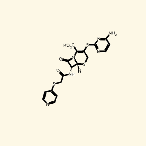 Nc1ccnc(SC2=C(C(=O)O)N3C(=O)[C@@H](NC(=O)CSc4ccncc4)[C@H]3SC2)n1